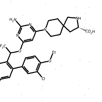 CCOc1ccc(-c2cc(Cl)ccc2C(Oc2cc(N3CCC4(CC3)CN[C@H](C(=O)O)C4)nc(N)n2)C(F)(F)F)cc1Cl